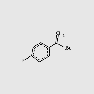 C=C(c1ccc(F)cc1)C(C)(C)C